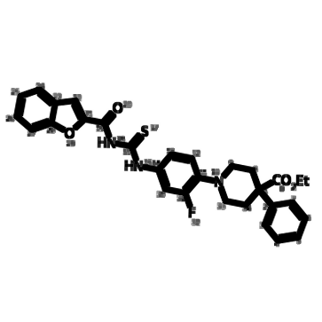 CCOC(=O)C1(c2ccccc2)CCN(c2ccc(NC(=S)NC(=O)c3cc4ccccc4o3)cc2F)CC1